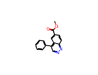 COC(=O)c1ccc2nncc(-c3ccccc3)c2c1